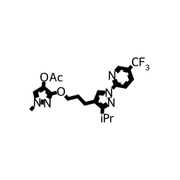 CC(=O)Oc1cn(C)nc1OCCCc1cn(-c2ccc(C(F)(F)F)cn2)nc1C(C)C